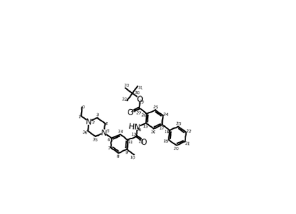 CCN1CCN(c2ccc(C)c(C(=O)Nc3cc(-c4ccccc4)ccc3C(=O)OC(C)(C)C)c2)CC1